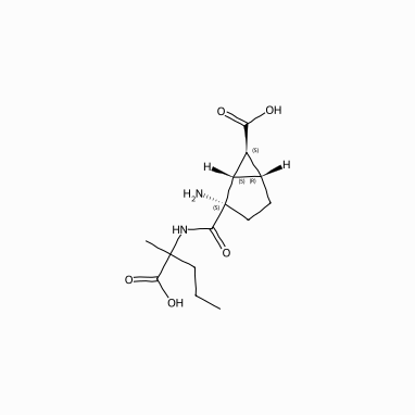 CCCC(C)(NC(=O)[C@]1(N)CC[C@H]2[C@H](C(=O)O)[C@H]21)C(=O)O